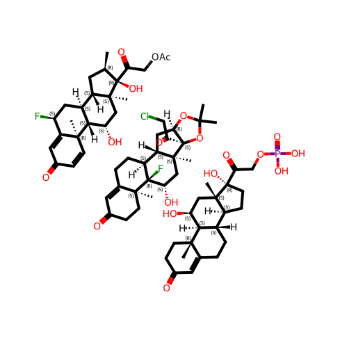 CC(=O)OCC(=O)[C@@]1(O)[C@H](C)C[C@H]2[C@@H]3C[C@H](F)C4=CC(=O)C=C[C@]4(C)[C@H]3[C@@H](O)C[C@@]21C.CC1(C)O[C@@H]2C[C@H]3[C@@H]4CCC5=CC(=O)CC[C@]5(C)[C@@]4(F)[C@@H](O)C[C@]3(C)[C@]2(C(=O)CCl)O1.C[C@]12CCC(=O)C=C1CC[C@@H]1[C@@H]2[C@@H](O)C[C@@]2(C)[C@H]1CC[C@]2(O)C(=O)COP(=O)(O)O